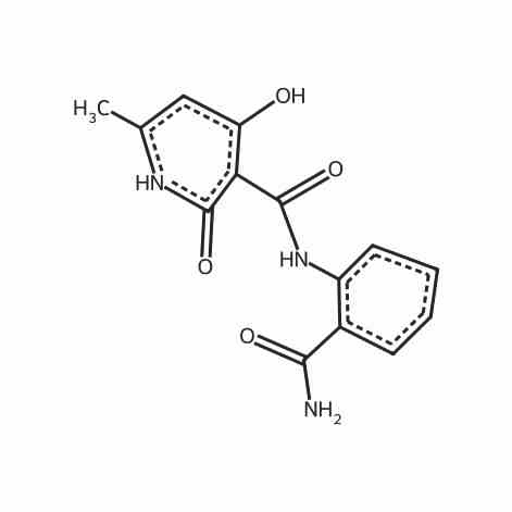 Cc1cc(O)c(C(=O)Nc2ccccc2C(N)=O)c(=O)[nH]1